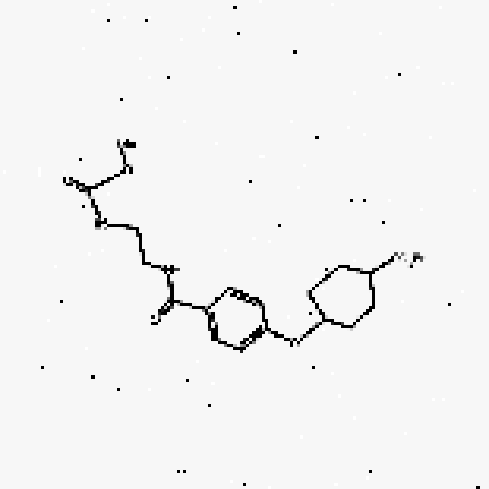 CCOC(=O)C1CCC(Oc2ccc(C(=O)NCCNC(=O)OC(C)(C)C)cc2)CC1